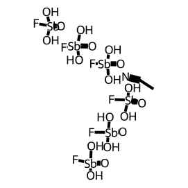 CC#N.[O]=[Sb]([OH])([OH])[F].[O]=[Sb]([OH])([OH])[F].[O]=[Sb]([OH])([OH])[F].[O]=[Sb]([OH])([OH])[F].[O]=[Sb]([OH])([OH])[F].[O]=[Sb]([OH])([OH])[F]